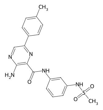 Cc1ccc(-c2cnc(N)c(C(=O)Nc3cccc(NS(C)(=O)=O)c3)n2)cc1